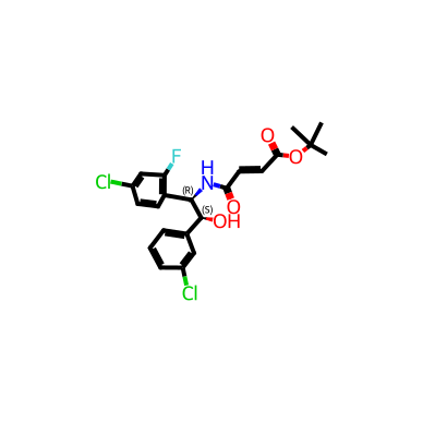 CC(C)(C)OC(=O)C=CC(=O)N[C@H](c1ccc(Cl)cc1F)[C@@H](O)c1cccc(Cl)c1